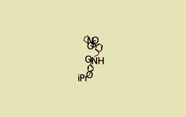 CC(C)Oc1ccc(C(=O)NCCc2cccc(S(=O)(=O)N3CCCCC3)c2)cc1